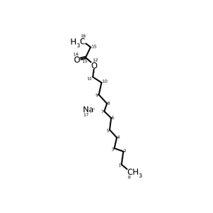 CCCCCCCCCCCCOC(=O)CC.[Na]